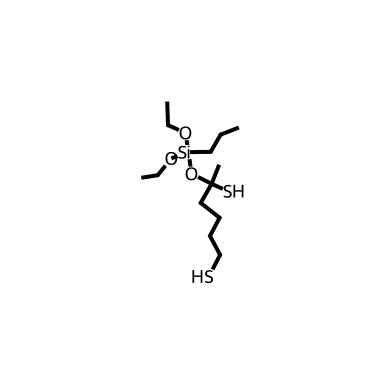 CCC[Si](OCC)(OCC)OC(C)(S)CCCCS